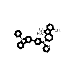 CC1CC=CC2=C1C1=CCC=C(N(c3ccc(-c4ccc5c(c4)c4ccccc4n5-c4ccccc4)cc3)c3ccccn3)CC1C2(C)C